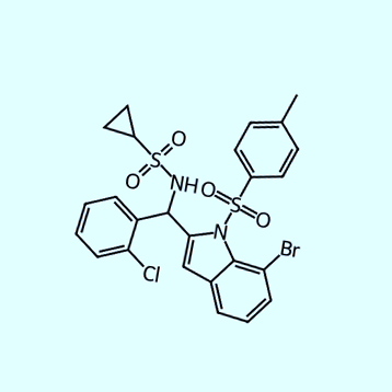 Cc1ccc(S(=O)(=O)n2c(C(NS(=O)(=O)C3CC3)c3ccccc3Cl)cc3cccc(Br)c32)cc1